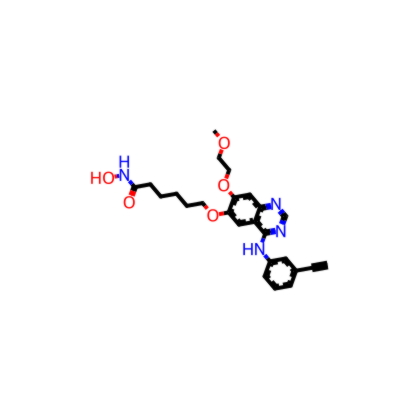 C#Cc1cccc(Nc2ncnc3cc(OCCOC)c(OCCCCCC(=O)NO)cc23)c1